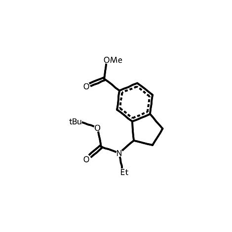 CCN(C(=O)OC(C)(C)C)C1CCc2ccc(C(=O)OC)cc21